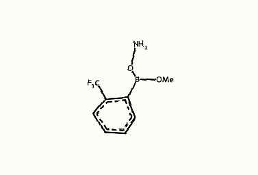 COB(ON)c1ccccc1C(F)(F)F